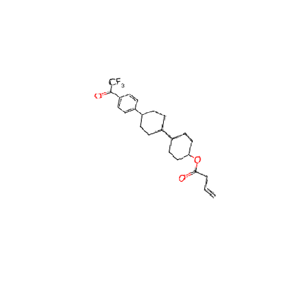 C=CCC(=O)OC1CCC(C2CCC(c3ccc(C(=O)C(F)(F)F)cc3)CC2)CC1